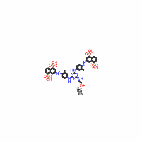 Cc1cc(Nc2nc(NCCO)nc(Nc3ccc(N=Nc4cc(S(=O)(=O)O)c5cccc(S(=O)(=O)O)c5c4)c(C)c3)n2)ccc1N=Nc1cc(S(=O)(=O)O)c2cccc(S(=O)(=O)O)c2c1.[Na].[Na].[Na].[Na]